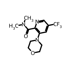 CN(C)C(=O)c1ncc(C(F)(F)F)cc1N1CCOCC1